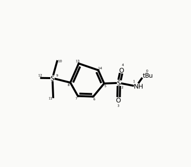 CC(C)(C)NS(=O)(=O)c1ccc(S(C)(C)C)cc1